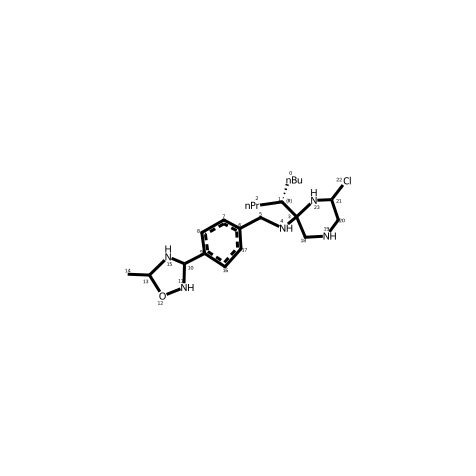 CCCC[C@@H](CCC)C1(NCc2ccc(C3NOC(C)N3)cc2)CNCC(Cl)N1